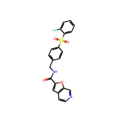 O=C(NCc1ccc(S(=O)(=O)c2ccccc2F)cc1)c1cc2ccncc2o1